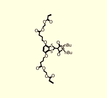 C=CC(=O)OCCOC(=O)CCCOc1ccc(OCCCC(=O)OCCOC(=O)C=C)c2c1SC(C1C(=O)N(CCCC)N(CCCC)C1=O)S2